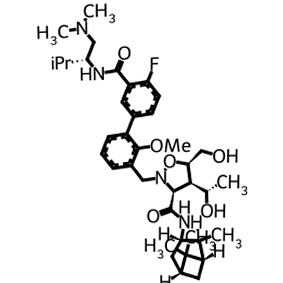 COc1c(CN2O[C@@H](CO)[C@@H]([C@H](C)O)[C@H]2C(=O)N[C@H]2C[C@H]3C[C@@H]([C@@H]2C)C3(C)C)cccc1-c1ccc(F)c(C(=O)N[C@@H](CN(C)C)C(C)C)c1